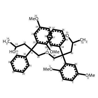 COc1ccc(OC)c(C(COCC(CC(C)O)(c2ccccc2)c2cc(OC)ccc2OC)(CC(C)O)c2ccccc2)c1